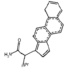 CCCC(C(N)=O)C1=c2ccc3c4c(ccc3c2C=C1)=CC=CC4